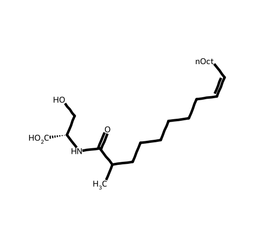 CCCCCCCC/C=C\CCCCCCC(C)C(=O)N[C@@H](CO)C(=O)O